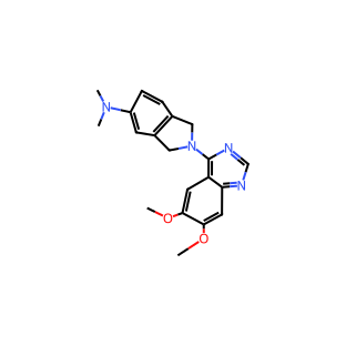 COc1cc2ncnc(N3Cc4ccc(N(C)C)cc4C3)c2cc1OC